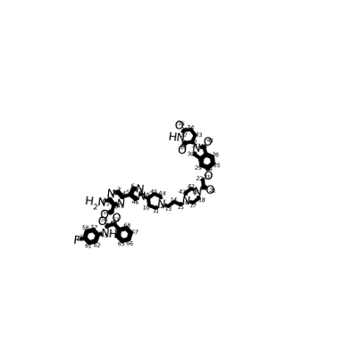 Nc1ncc(-c2cnn(C3CCN(CCCN4CCN(C(=O)COc5ccc6c(c5)CN(C5CCC(=O)NC5=O)C6=O)CC4)CC3)c2)nc1C(=O)O[C@@H](C(=O)Nc1ccc(F)cc1)c1ccccc1